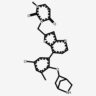 Cc1cc(Cl)cc(-c2ccnc3cc(Cn4c(=O)ccn(C)c4=O)sc23)c1OC1CC2CC1CN2